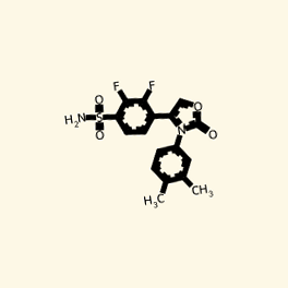 Cc1ccc(-n2c(-c3ccc(S(N)(=O)=O)c(F)c3F)coc2=O)cc1C